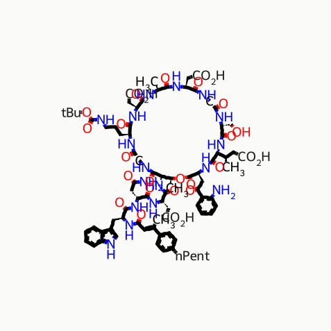 CCCCCc1ccc(/C(C)=C/C(=O)N[C@@H](Cc2c[nH]c3ccccc23)C(=O)N[C@H](CC(N)=O)C(=O)N[C@@H](CC(=O)O)C(=O)N[C@@H]2C(=O)NCC(=O)N[C@@H](CCCNC(=O)OC(C)(C)C)C(=O)N[C@@H](CC(=O)O)C(=O)N[C@H](C)C(=O)N[C@@H](CC(=O)O)C(=O)NCC(=O)N[C@H](CO)C(=O)N[C@@H]([C@H](C)CC(=O)O)C(=O)N[C@@H](CC(=O)c3ccccc3N)C(=O)O[C@@H]2C)cc1